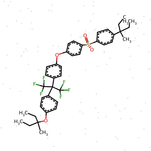 CCC(C)(CC)Oc1ccc(C(c2ccc(Oc3ccc(S(=O)(=O)c4ccc(C(C)(CC)CC)cc4)cc3)cc2)(C(F)(F)F)C(F)(F)F)cc1